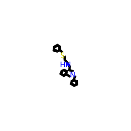 c1ccc(CSCCCNCCCN(Cc2ccccc2)Cc2ccccc2)cc1